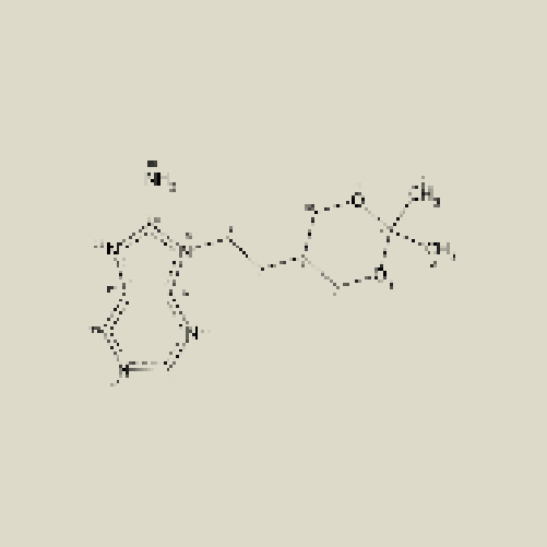 CC1(C)OCC(CCn2c(N)nc3cncnc32)CO1